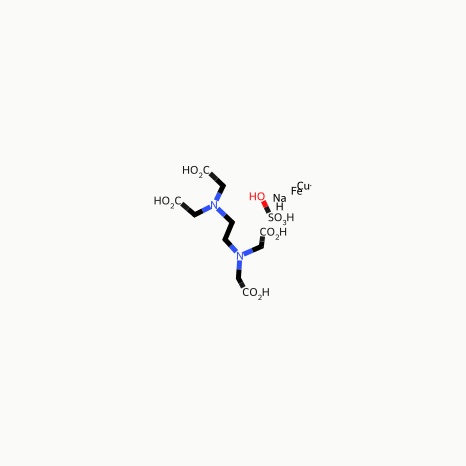 O=C(O)CN(CCN(CC(=O)O)CC(=O)O)CC(=O)O.O=S(=O)(O)O.[Cu].[Fe].[NaH]